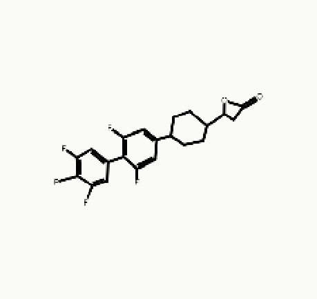 O=C1CC(C2CCC(c3cc(F)c(-c4cc(F)c(F)c(F)c4)c(F)c3)CC2)O1